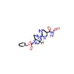 O=C(NO)c1cnc(N2CC3[C@H]2CN3C(=O)OCc2ccccc2)nc1